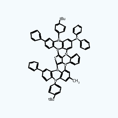 Cc1cc2c3c(c1)N1c4ccccc4N4c5cc(N(c6ccccc6)c6ccccc6)cc6c5B(c5ccc(-c7ccccc7)cc5N6c5ccc(C(C)(C)C)cc5)c5sc(c1c54)B3c1cc(-c3ccccc3)ccc1N2c1ccc(C(C)(C)C)cc1